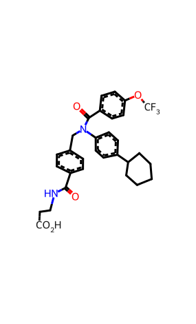 O=C(O)CCNC(=O)c1ccc(CN(C(=O)c2ccc(OC(F)(F)F)cc2)c2ccc(C3CCCCC3)cc2)cc1